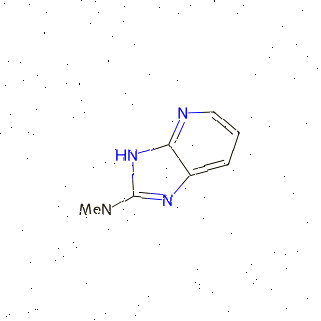 CNc1nc2cccnc2[nH]1